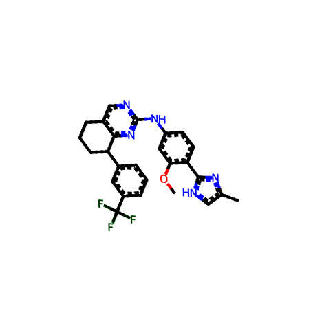 COc1cc(Nc2ncc3c(n2)C(c2cccc(C(F)(F)F)c2)CCC3)ccc1-c1nc(C)c[nH]1